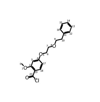 COc1cc(OCCOCCc2ccccc2)ccc1C(=O)Cl